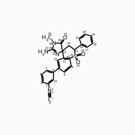 [C-]#[N+]c1cccc(-c2ccc3c(c2)C2(CC(c4ccccc4)S3(=O)=O)N=C(N)N(C)C2=O)c1